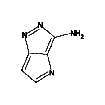 NC1=C2N=CC=C2N=N1